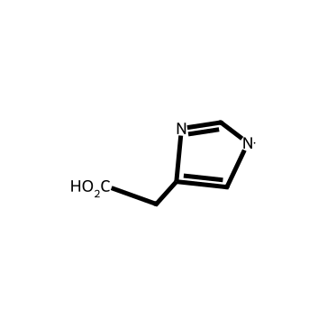 O=C(O)CC1=C[N]C=N1